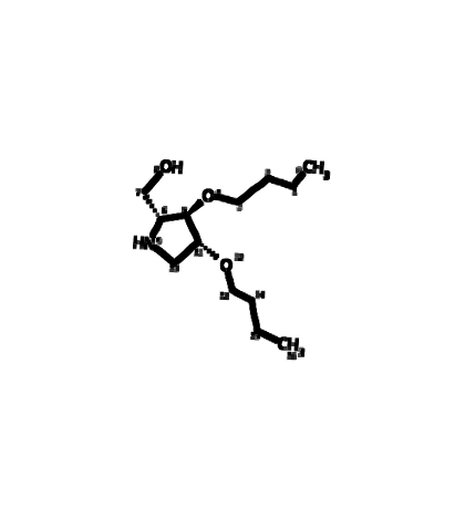 CCCCO[C@@H]1[C@@H](CO)NC[C@H]1OCCCC